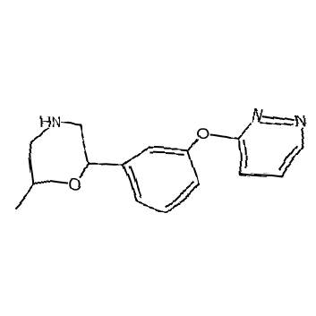 CC1CNCC(c2cccc(Oc3cccnn3)c2)O1